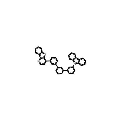 c1cc(-c2cccc(-c3ccnc4c3sc3ccccc34)c2)cc(-c2cccc(-n3c4ccccc4c4ccccc43)c2)c1